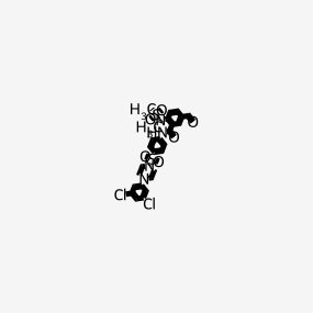 CN(c1ccc(C=O)cc1C(=O)Nc1ccc(S(=O)(=O)N2CCN(c3cc(Cl)cc(Cl)c3)CC2)cc1)S(C)(=O)=O